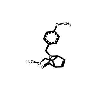 COCC1C2C=CC1N(Cc1ccc(OC)cc1)C2=O